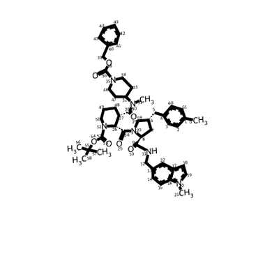 Cc1ccc(C[C@@H]2C[C@@H](C(=O)NCc3ccc4c(ccn4C)c3)N(C(=O)[C@H]3[C@@H](C(=O)N(C)C4CCN(C(=O)OCc5ccccc5)CC4)CCCN3C(=O)OC(C)(C)C)C2)cc1